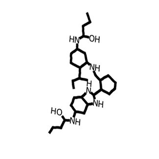 CCCC(O)NC1CCC2NC(C3CCCCC3CNC3CC(NC(O)CCC)CCC3C(C)CC)NC2C1